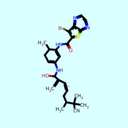 C=C(/C=C\CC(C)C(C)(C)C#N)C(O)NC1=CCC(C)C(NC(=O)c2sc3nccnc3c2Br)=C1